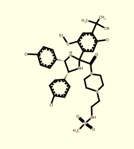 CCOc1cc(C(C)(C)C#N)c(Cl)cc1C1(C(=O)N2CCN(CCNS(C)(=O)=O)CC2)N[C@H](c2ccc(Cl)cc2)[C@H](c2ccc(Cl)cc2)N1